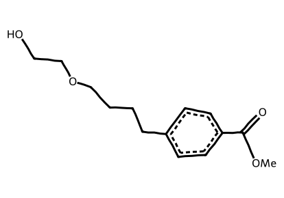 COC(=O)c1ccc(CCCCOCCO)cc1